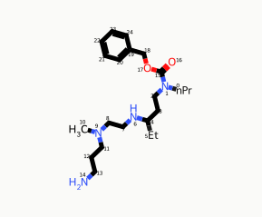 CCCN(CCC(CC)NCCN(C)CCCN)C(=O)OCc1ccccc1